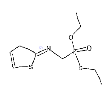 CCOP(=O)(C/N=C1/CC=CS1)OCC